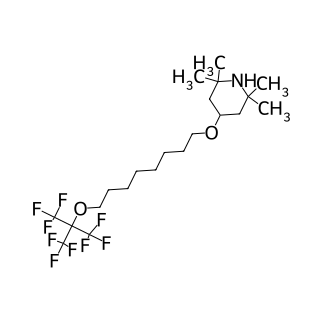 CC1(C)CC(OCCCCCCCCOC(C(F)(F)F)(C(F)(F)F)C(F)(F)F)CC(C)(C)N1